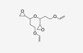 C=COCCC(OC(CCOC=C)C1CO1)C1CO1